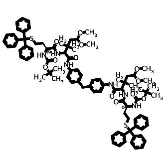 COC(CC(C)(C)C(NC(=O)[C@H](CCSC(c1ccccc1)(c1ccccc1)c1ccccc1)NC(=O)OC(C)(C)C)C(=O)Nc1ccc(Cc2ccc(NC(=O)C(NC(=O)[C@H](CCSC(c3ccccc3)(c3ccccc3)c3ccccc3)NC(=O)OC(C)(C)C)C(C)(C)CC(OC)OC)cc2)cc1)OC